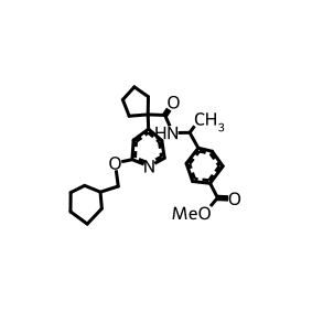 COC(=O)c1ccc(C(C)NC(=O)C2(c3ccnc(OCC4CCCCC4)c3)CCCC2)cc1